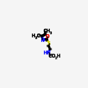 Cc1nc(SCCNC(=O)O)oc1C